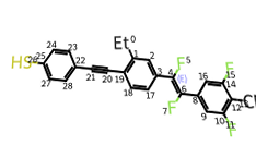 CCc1cc(/C(F)=C(\F)c2cc(F)c(C#N)c(F)c2)ccc1C#Cc1ccc(S)cc1